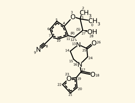 CC1(C)Oc2ccc(C#N)cc2[C@@H](N2CCN(C(=O)c3ccco3)CC2=O)[C@@H]1O